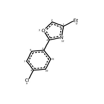 CCc1coc(-c2ccc(Cl)cc2)n1